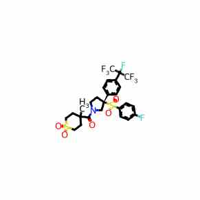 CC1(C(=O)N2CC[C@](c3ccc(C(F)(C(F)(F)F)C(F)(F)F)cc3)(S(=O)(=O)c3ccc(F)cc3)C2)CCS(=O)(=O)CC1